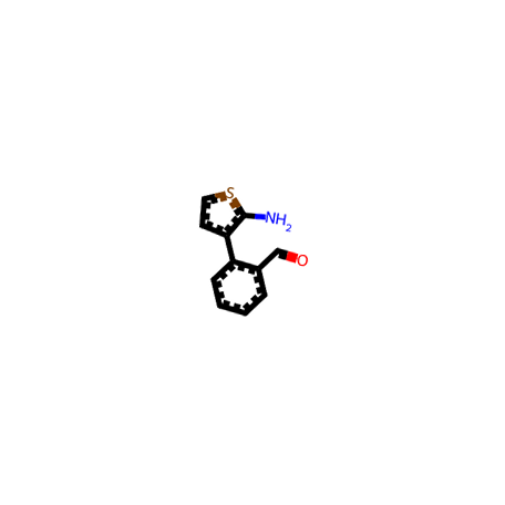 Nc1sccc1-c1ccccc1C=O